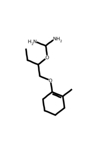 CCC(COC1=C(C)CCCC1)OC(N)N